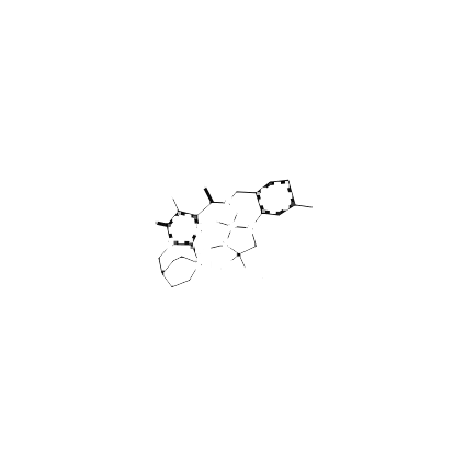 CN1C(C)(C)CN(c2cc(F)ccc2CNC(=O)c2nc3n(c(=O)c2O)CC2CCN3CC2)S1(O)O